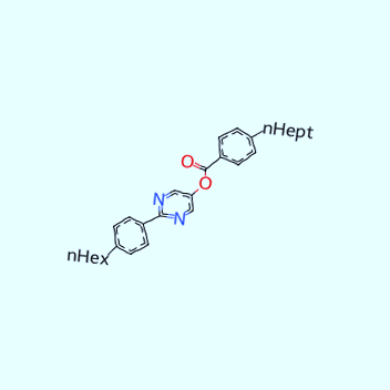 CCCCCCCc1ccc(C(=O)Oc2cnc(-c3ccc(CCCCCC)cc3)nc2)cc1